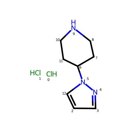 Cl.Cl.c1cnn(C2CCNCC2)c1